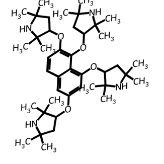 CC1(C)CC(Oc2cc(OC3CC(C)(C)NC3(C)C)c3c(OC4CC(C)(C)NC4(C)C)c(OC4CC(C)(C)NC4(C)C)ccc3c2)C(C)(C)N1